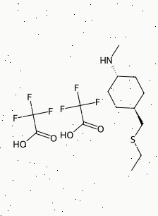 CCSC[C@H]1CC[C@H](NC)CC1.O=C(O)C(F)(F)F.O=C(O)C(F)(F)F